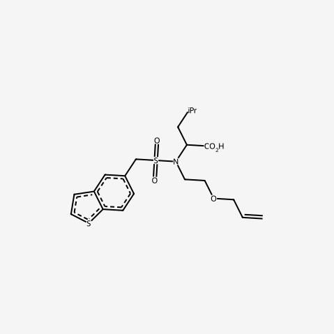 C=CCOCCN(C(CC(C)C)C(=O)O)S(=O)(=O)Cc1ccc2sccc2c1